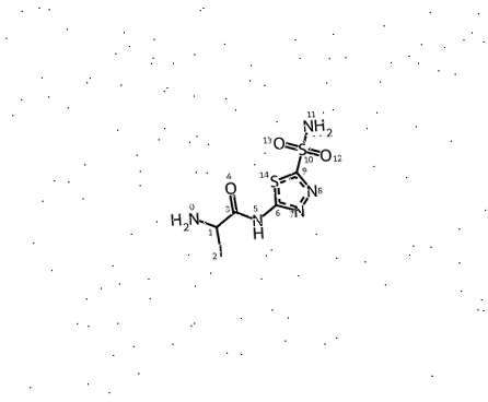 NC(I)C(=O)Nc1nnc(S(N)(=O)=O)s1